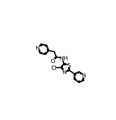 O=C(Cc1ccncc1)Nc1sc(-c2cccnc2)nc1Cl